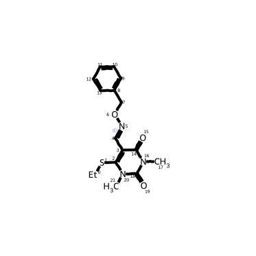 CCSc1c(/C=N/OCc2ccccc2)c(=O)n(C)c(=O)n1C